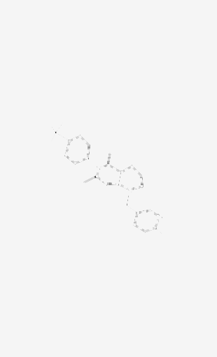 O=c1nc2n(Cc3ccc(Cl)nc3)cccc-2c(=O)n1-c1ccc(C(F)(F)F)cc1